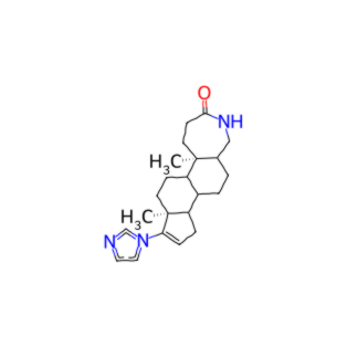 C[C@]12CCC(=O)NCC1CCC1C2CC[C@]2(C)C(n3ccnc3)=CCC12